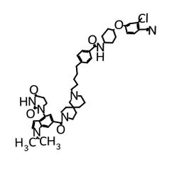 CC(C)n1ccc2c(N3CCC(=O)NC3=O)cc(C(=O)N3CCC4(CCCN(CCCCCc5ccc(C(=O)NC6CCC(Oc7ccc(C#N)c(Cl)c7)CC6)cc5)C4)CC3)cc21